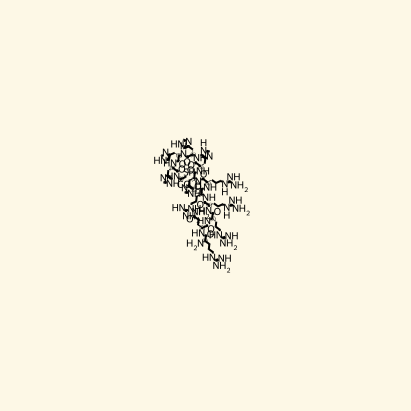 N=C(N)NCCC[C@H](NC(=O)[C@H](CCCNC(=N)N)NC(=O)[C@H](CCCNC(=N)N)NC(=O)[C@H](CCCNC(=N)N)NC(=O)[C@H](CCC(N)=O)NC(=O)[C@@H](N)CCCNC(=N)N)C(=O)N[C@@H](Cc1c[nH]cn1)C(=O)N[C@@H](Cc1c[nH]cn1)C(=O)N[C@@H](Cc1c[nH]cn1)C(=O)N[C@@H](Cc1c[nH]cn1)C(=O)N[C@@H](Cc1c[nH]cn1)C(=O)N[C@@H](CS)C(=O)O